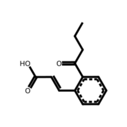 CCCC(=O)c1ccccc1/C=C/C(=O)O